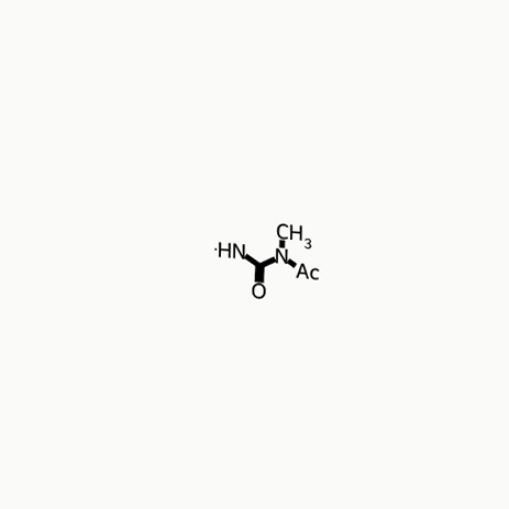 CC(=O)N(C)C([NH])=O